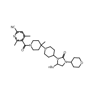 CCCCC1CN(C2CCOCC2)C(=O)N1C1CCN(C2(C)CCN(C(=O)c3c(C)cc(C#N)nc3C)CC2)CC1